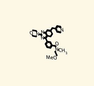 COCCN(C)C(=O)c1cccc(-c2nc(N3CCOCC3)nc3c2CCC(Cc2ccncc2)=C3)c1